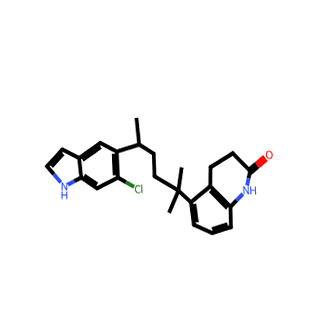 CC(CCC(C)(C)c1cccc2c1CCC(=O)N2)c1cc2cc[nH]c2cc1Cl